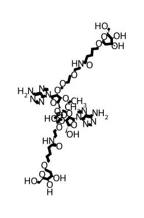 CC(C)O[C@H]1[C@@H](OCOCCOCCNC(=O)CCCCO[C@H]2C[C@@H](O)[C@@H](O)[C@@H](CO)O2)[C@H](n2cnc3c(N)ncnc32)O[C@@H]1COP(=O)(O)O[C@H]1[C@@H](OCOCCOCCNC(=O)CCCCO[C@H]2C[C@@H](O)[C@@H](O)[C@@H](CO)O2)[C@H](n2cnc3c(N)ncnc32)O[C@@H]1CO